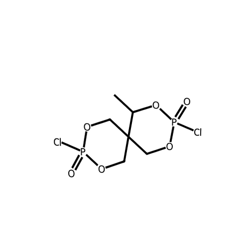 CC1OP(=O)(Cl)OCC12COP(=O)(Cl)OC2